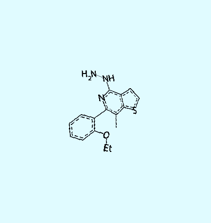 CCOc1ccccc1-c1nc(NN)c2ccsc2c1C